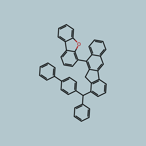 c1ccc(-c2ccc(C(c3ccccc3)c3cccc4c3Cc3c-4cc4ccccc4c3-c3cccc4c3oc3ccccc34)cc2)cc1